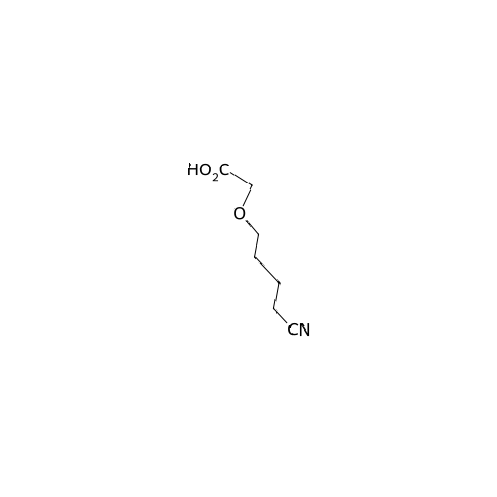 N#CCCCCOCC(=O)O